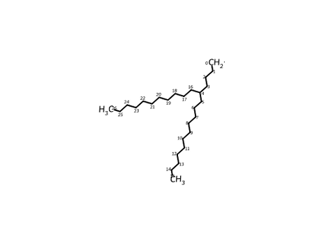 [CH2]CCCC(CCCCCCCCCCC)CCCCCCCCCCC